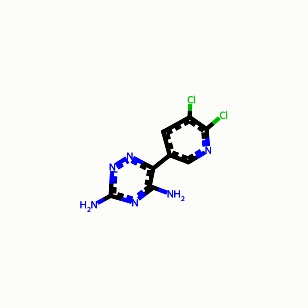 Nc1nnc(-c2cnc(Cl)c(Cl)c2)c(N)n1